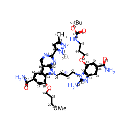 CCn1nc(C)cc1-c1ncc2c3cc(C(N)=O)cc(OCCCOC)c3n(C/C=C/Cn3c(N)nc4cc(C(N)=O)cc(OCCCNC(=O)OC(C)(C)C)c43)c2n1